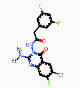 CCN(CC)c1nc2cc(F)c(Cl)cc2c(=O)n1NC(=O)Cc1cc(F)cc(F)c1